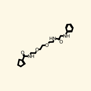 O=C(CNc1ccccc1)NCCOCCOCCNC(=O)C1=CCCC1